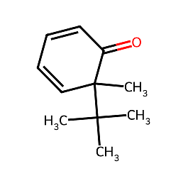 CC(C)(C)C1(C)C=CC=CC1=O